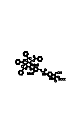 CCCCCCCCOc1c(CO)c2ccc(NC(=O)C=Cc3cc(OC)c(O[C@H]4O[C@H](COC(=O)c5ccccc5)[C@@H](OC(=O)c5ccccc5)[C@H](OC(=O)c5ccccc5)[C@@H]4OC(=O)c4ccccc4)c(OC)c3)cc2[nH]c1=O